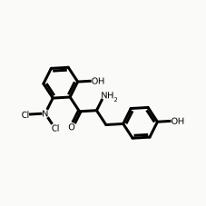 NC(Cc1ccc(O)cc1)C(=O)c1c(O)cccc1N(Cl)Cl